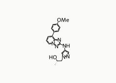 COc1ccc(-c2cccn3nc(Nc4cnn(C[C@H](C)O)c4)nc23)cc1